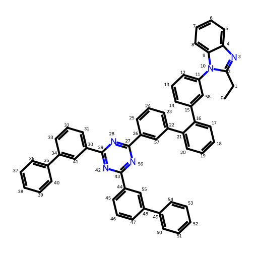 CCc1nc2ccccc2n1-c1cccc(-c2ccccc2-c2cccc(-c3nc(-c4cccc(-c5ccccc5)c4)nc(-c4cccc(-c5ccccc5)c4)n3)c2)c1